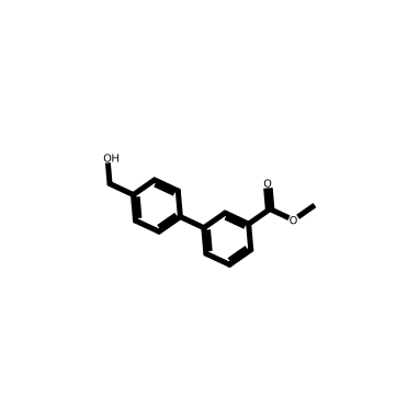 COC(=O)c1cccc(-c2ccc(CO)cc2)c1